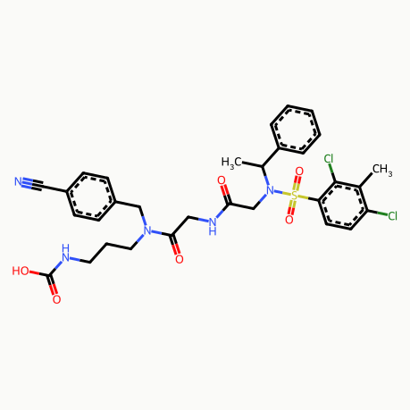 Cc1c(Cl)ccc(S(=O)(=O)N(CC(=O)NCC(=O)N(CCCNC(=O)O)Cc2ccc(C#N)cc2)C(C)c2ccccc2)c1Cl